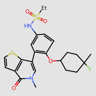 CCS(=O)(=O)Nc1ccc(OC2CCC(C)(F)CC2)c(-c2cn(C)c(=O)c3ccsc23)c1